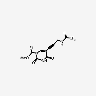 CCC(OC)n1cc(C#CCNC(=O)C(F)(F)F)c(=O)[nH]c1=O